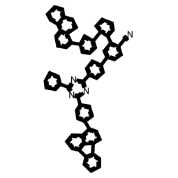 N#Cc1ccc(-c2ccc(-c3nc(-c4ccccc4)nc(-c4ccc(-c5ccc6c7c(cccc57)-c5ccccc5-6)cc4)n3)cc2)cc1-c1ccccc1-c1cccc(-c2cccc3c2ccc2ccccc23)c1